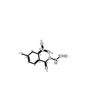 O=CNOC(=O)C1=CC=C(I)CC1=S(=O)=O